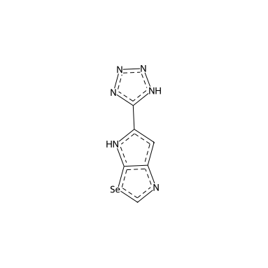 c1nc2cc(-c3nnn[nH]3)[nH]c2[se]1